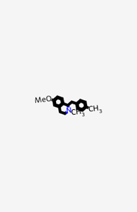 COc1ccc2c(c1)CCN(C)C2Cc1ccc(C)cc1